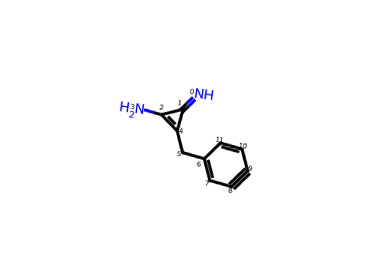 N=c1c(N)c1Cc1cc#ccc1